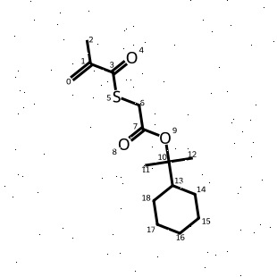 C=C(C)C(=O)SCC(=O)OC(C)(C)C1CCCCC1